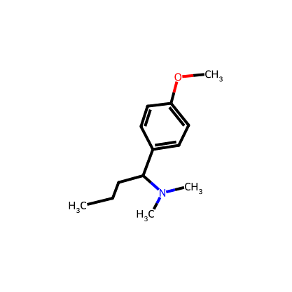 CCCC(c1ccc(OC)cc1)N(C)C